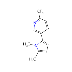 Cc1ccc(-c2ccc(C(F)(F)F)nc2)n1C